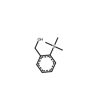 C[Si](C)(C)c1ccccc1CO